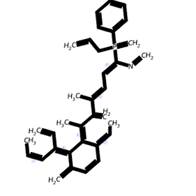 C=CCP(=C)(/C(=C/C=C(\C)C(=C)/C(C)=c1c(=C/C)\ccc(=C)c\1=C(C=C)/C=C\C)N=C)c1ccccc1